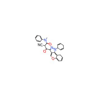 CN(C(=O)C(C#N)C(=O)c1nn(C2C=CCC=C2)c2c1=COC1=CC=CCC=21)c1ccccc1